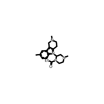 CCC(=O)N1CCN(C)CC1n1c2c(c3cc(C)ccc31)CN(C)CC2